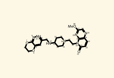 C=C(/C=C1/OCCO/C1=N/N)CNC1CCN(CCn2c(=O)ccc3ncc(OC)nc32)CC1